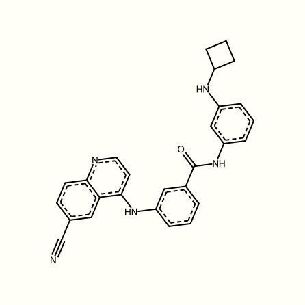 N#Cc1ccc2nccc(Nc3cccc(C(=O)Nc4cccc(NC5CCC5)c4)c3)c2c1